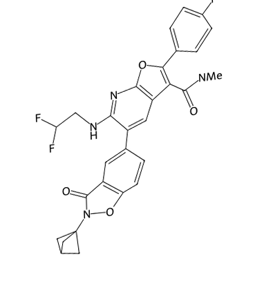 CNC(=O)c1c(-c2ccc(F)cc2)oc2nc(NCC(F)F)c(-c3ccc4on(C56CC(C5)C6)c(=O)c4c3)cc12